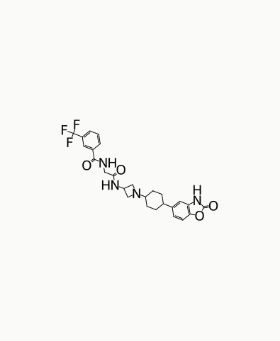 O=C(CNC(=O)c1cccc(C(F)(F)F)c1)NC1CN(C2CCC(c3ccc4oc(=O)[nH]c4c3)CC2)C1